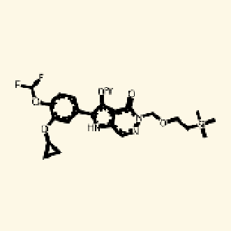 CCCc1c(-c2ccc(OC(F)F)c(OC3CC3)c2)[nH]c2cnn(COCC[Si](C)(C)C)c(=O)c12